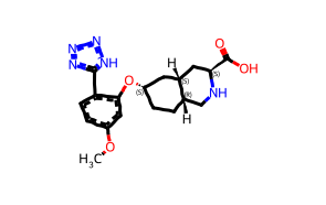 COc1ccc(-c2nnn[nH]2)c(O[C@H]2CC[C@H]3CN[C@H](C(=O)O)C[C@H]3C2)c1